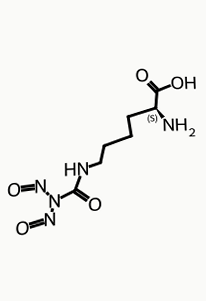 N[C@@H](CCCCNC(=O)N(N=O)N=O)C(=O)O